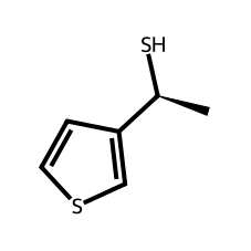 C[C@H](S)c1ccsc1